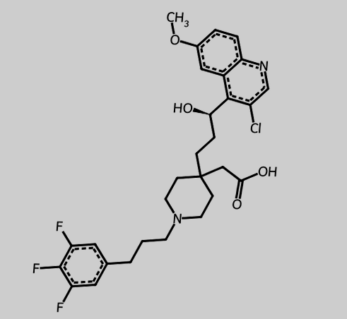 COc1ccc2ncc(Cl)c([C@H](O)CCC3(CC(=O)O)CCN(CCCc4cc(F)c(F)c(F)c4)CC3)c2c1